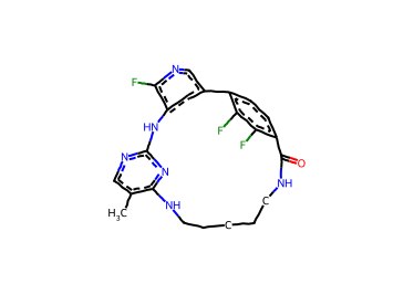 Cc1cnc2nc1NCCCCCNC(=O)c1ccc(c(F)c1F)-c1cnc(F)c(c1)N2